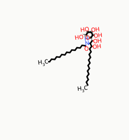 CCCCCCCCCCCCCCCC(=O)NC(C(O)CCCCCCCCCCCCCCC)C(O)[C@@H]1O[C@H](CO)[C@@H](O)[C@H](O)[C@H]1O